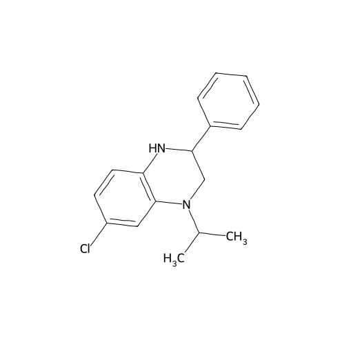 CC(C)N1CC(c2ccccc2)Nc2ccc(Cl)cc21